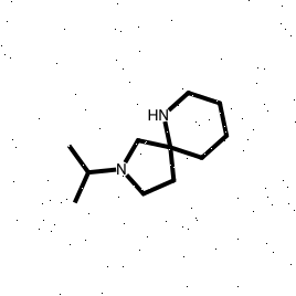 CC(C)N1CCC2(CCCCN2)C1